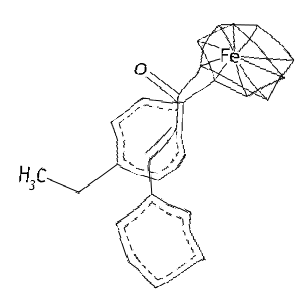 CCc1ccc([C]23[CH]4[CH]5[CH]6[CH]2[Fe]56432789[CH]3[CH]2[CH]7[C]8(C(=O)C=Cc2ccccc2)[CH]39)cc1